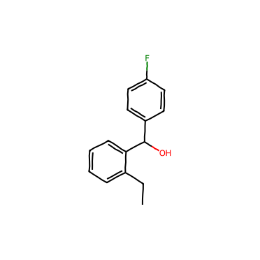 CCc1ccccc1C(O)c1ccc(F)cc1